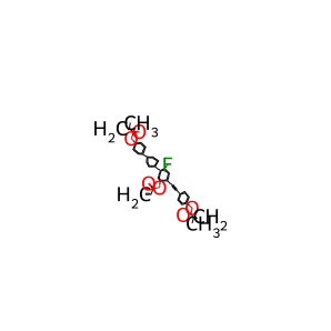 C=CC(=O)Oc1cc(-c2ccc(-c3ccc(OC(=O)C(=C)C)cc3)cc2)c(F)cc1C#Cc1ccc(OC(=O)C(=C)C)cc1